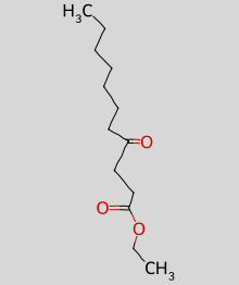 CCCCCCCC(=O)CCC(=O)OCC